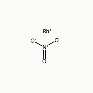 O=[N+]([O-])[O-].[Rh+]